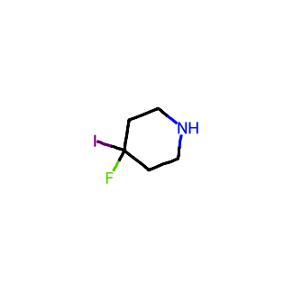 FC1(I)CCNCC1